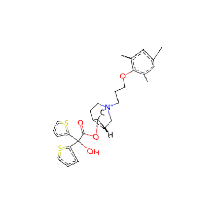 Cc1cc(C)c(OCCC[N+]23CCC(CC2)[C@@H](OC(=O)C(O)(c2cccs2)c2cccs2)C3)c(C)c1